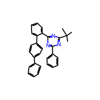 CC(C)(C)c1nc(-c2ccccc2)nc(-c2ccccc2-c2ccc(-c3ccccc3)cc2)n1